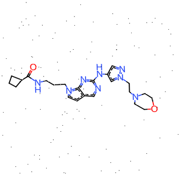 O=C(NCCCn1ccc2cnc(Nc3cnn(CCN4CCOCC4)c3)nc21)C1CCC1